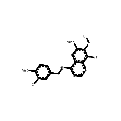 CCCc1c(OCC)c(NC(C)=O)cc2c(NCc3ccc(OC)c(Cl)c3)ncnc12